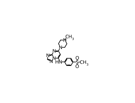 CN1CCN(c2cc(Nc3ccc(S(C)(=O)=O)cc3)n3ncnc3n2)CC1